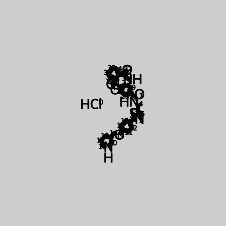 Cl.O=C(NCc1cnc(-c2ccc(OCC3CCCNC3)cc2)s1)c1ccc2c(c1)NC(=O)c1ccccc1S2(=O)=O